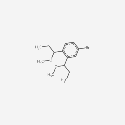 CCC(OC)c1ccc(Br)cc1C(CC)OC